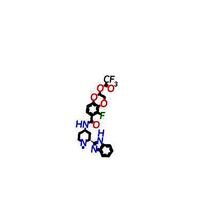 CN1CC[C@@H](NC(=O)c2ccc3c(c2F)OCC(OC(=O)C(F)(F)F)O3)C[C@@H]1c1nc2ccccc2[nH]1